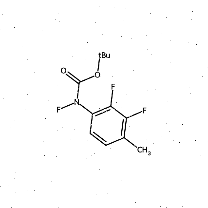 Cc1ccc(N(F)C(=O)OC(C)(C)C)c(F)c1F